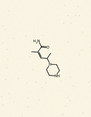 CC(=CC(C)N1CCNCC1)C(N)=O